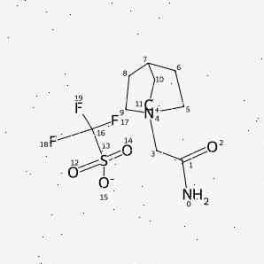 NC(=O)C[N+]12CCC(CC1)CC2.O=S(=O)([O-])C(F)(F)F